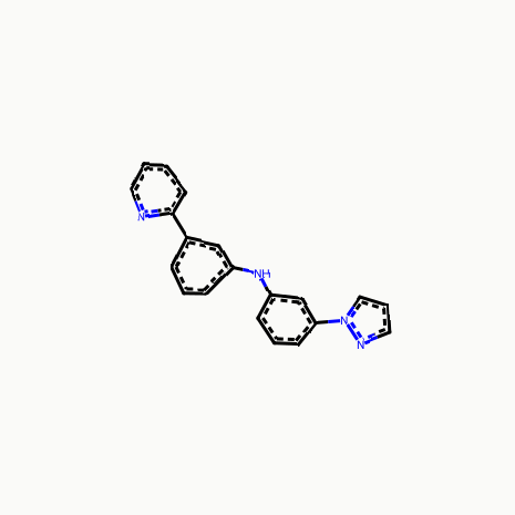 c1ccc(-c2cccc(Nc3cccc(-n4cccn4)c3)c2)nc1